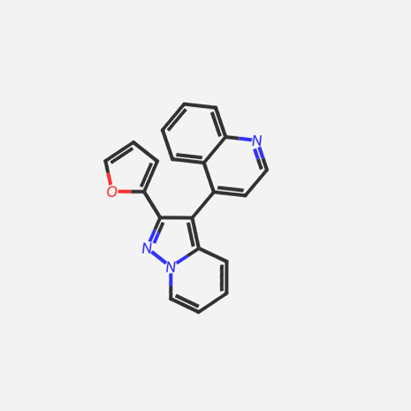 c1coc(-c2nn3ccccc3c2-c2ccnc3ccccc23)c1